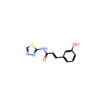 O=C(/C=C/c1cccc(O)c1)Nc1nncs1